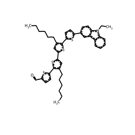 CCCCCCc1cc(-c2cc(CCCCCC)c(-c3ccc(-c4ccc5c(c4)c4ccccc4n5CC)s3)s2)sc1-c1ccc(C=O)s1